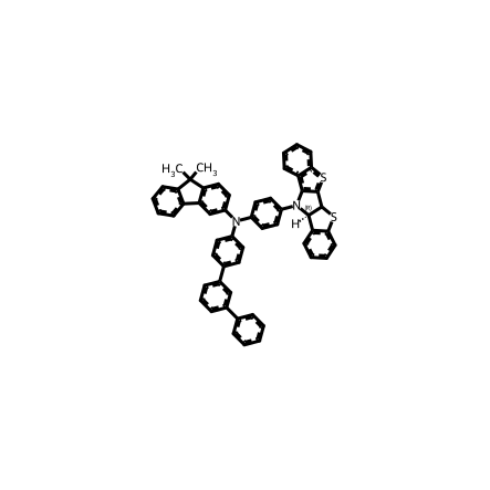 CC1(C)c2ccccc2-c2cc(N(c3ccc(-c4cccc(-c5ccccc5)c4)cc3)c3ccc(N4c5c(sc6ccccc56)C5Sc6ccccc6[C@H]54)cc3)ccc21